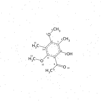 COc1c(C)c(O)c(C(C)=O)c(OC)c1C